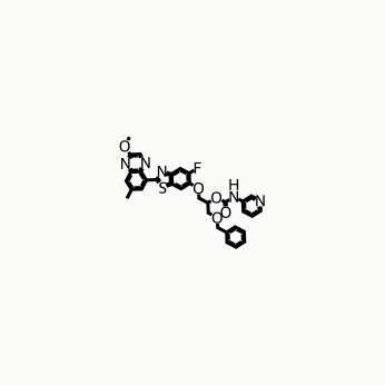 COc1cnc2c(-c3nc4cc(F)c(OCC(COCc5ccccc5)OC(=O)Nc5cccnc5)cc4s3)cc(C)cc2n1